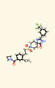 Cc1cc(C(=O)N2CCC2)ccc1CCS(=O)(=O)N1CCC2(CC1)N=C(c1cccc(C(F)(F)F)c1)NC2=O